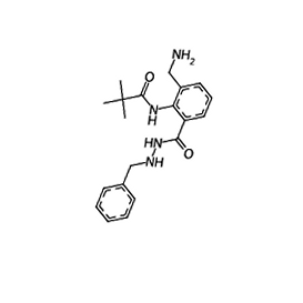 CC(C)(C)C(=O)Nc1c(CN)cccc1C(=O)NNCc1ccccc1